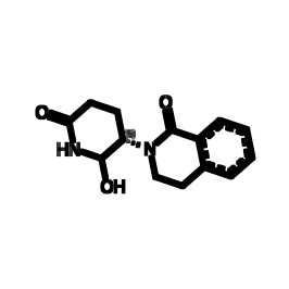 O=C1CC[C@H](N2CCc3ccccc3C2=O)C(O)N1